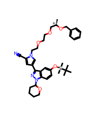 C[C@H](COCCOCCn1cc(-c2nn(C3CCCCO3)c3ccc(O[Si](C)(C)C(C)(C)C)cc23)cc1C#N)OCc1ccccc1